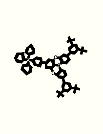 CC(C)(C)c1cc(-c2ccc3c(c2)Oc2cc(-c4ccc(S(c5ccccc5)(c5ccccc5)c5ccccc5)cc4)cc4c2B3c2ccc(-c3cc(C(C)(C)C)cc(C(C)(C)C)c3)cc2O4)cc(C(C)(C)C)c1